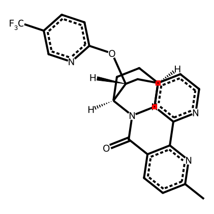 Cc1ccc(C(=O)N2C[C@@H]3CC[C@H]2[C@H](Oc2ccc(C(F)(F)F)cn2)C3)c(-c2ncccn2)n1